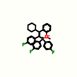 C[O+]1c2ccccc2C(C2CCCCC2)=C(c2ccc(F)cc2)[B-]1(c1ccc(F)cc1)c1ccc(F)cc1